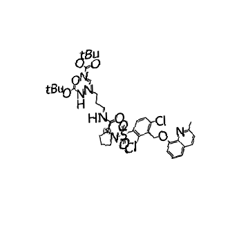 Cc1ccc2cccc(OCc3c(Cl)ccc(S(=O)(=O)N4CCC[C@H]4C(=O)NCCCN(C=NC(=O)OC(C)(C)C)NC(=O)OC(C)(C)C)c3Cl)c2n1